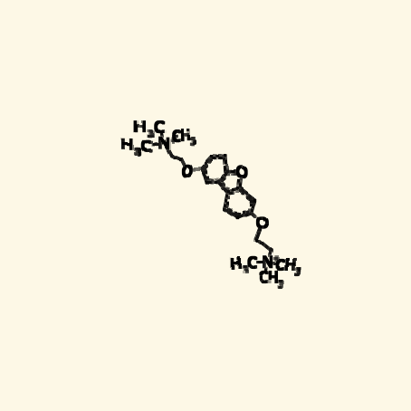 C[N+](C)(C)CCOc1ccc2c(c1)oc1ccc(OCC[N+](C)(C)C)cc12